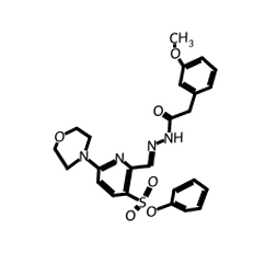 COc1cccc(CC(=O)NN=Cc2nc(N3CCOCC3)ccc2S(=O)(=O)Oc2ccccc2)c1